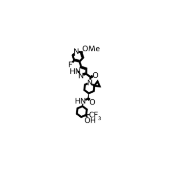 COc1cc(-c2cc(C(=O)N3CC[C@H](C(=O)N[C@@H]4CCC[C@](O)(C(F)(F)F)C4)CC34CC4)n[nH]2)c(F)cn1